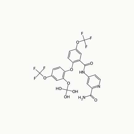 NC(=O)c1cc(NC(=O)c2cc(OC(F)(F)F)ccc2Oc2ccc(OC(F)(F)F)cc2OC(O)(O)O)ccn1